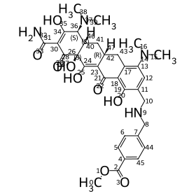 COC(=O)c1ccc(CNCc2cc(N(C)C)c3c(c2O)C(=O)C2=C(O)[C@]4(O)C(=O)C(C(N)=O)=C(O)[C@@H](N(C)C)[C@@H]4C[C@@H]2C3)cc1